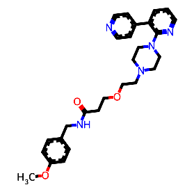 COc1ccc(CNC(=O)CCOCCN2CCN(c3ncccc3-c3ccncc3)CC2)cc1